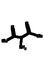 CC(C)(C)C(=O)N(N)C(=O)C(C)(C)C